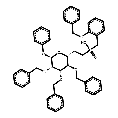 O=P(O)(CC[C@H]1O[C@H](Oc2ccccc2)[C@@H](OCc2ccccc2)[C@@H](OCc2ccccc2)[C@@H]1OCc1ccccc1)Cc1ccccc1OCc1ccccc1